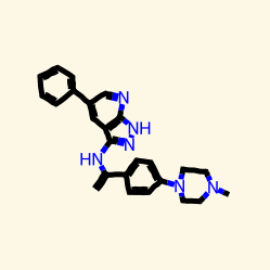 C=C(Nc1n[nH]c2ncc(-c3ccccc3)cc12)c1ccc(N2CCN(C)CC2)cc1